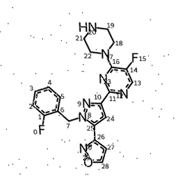 Fc1ccccc1Cn1nc(-c2ncc(F)c(N3CCNCC3)n2)cc1-c1ccon1